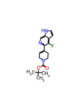 CC(C)(C)OC(=O)N1CC=C(c2ncc3[nH]ccc3c2F)CC1